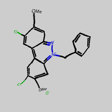 COc1cc2n[n+](Cc3ccccc3)c3cc(OC)c(Cl)cc3c2cc1Cl.[Cl-]